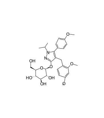 COc1ccc(-c2c(Cc3ccc(OC)cc3OC)c(O[C@@H]3O[C@H](CO)[C@@H](O)[C@H](O)[C@H]3O)nn2C(C)C)cc1